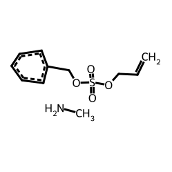 C=CCOS(=O)(=O)OCc1ccccc1.CN